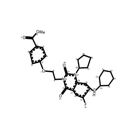 COC(=O)c1ccc(OCCn2c(=O)c3cc(F)c(NC4CCCCC4)cc3n(C3CCCC3)c2=O)cc1